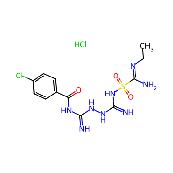 CCN=C(N)S(=O)(=O)NC(=N)NNC(=N)NC(=O)c1ccc(Cl)cc1.Cl